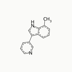 Cc1cccc2c(-c3cccnc3)c[nH]c12